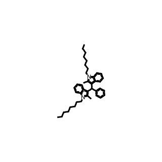 CCCCCCCCn1c(C)c(C(c2ccccc2)c2c(C)n(CCCCCCCC)c3ccccc23)c2ccccc21